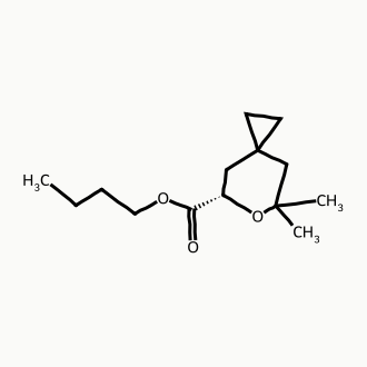 CCCCOC(=O)[C@@H]1CC2(CC2)CC(C)(C)O1